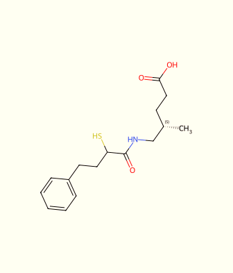 C[C@@H](CCC(=O)O)CNC(=O)C(S)CCc1ccccc1